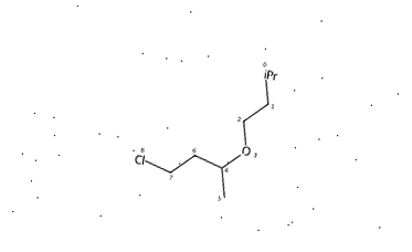 CC(C)CCOC(C)CCCl